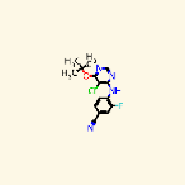 CC(C)(C)Oc1ncnc(Nc2ccc(C#N)cc2F)c1Cl